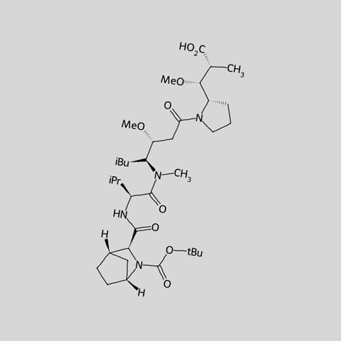 CC[C@H](C)[C@@H]([C@@H](CC(=O)N1CCC[C@H]1[C@H](OC)[C@@H](C)C(=O)O)OC)N(C)C(=O)[C@@H](NC(=O)[C@@H]1[C@H]2CC[C@H](C2)N1C(=O)OC(C)(C)C)C(C)C